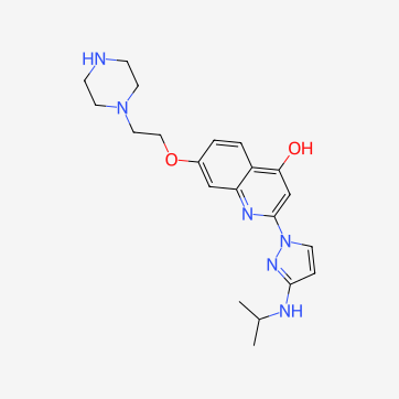 CC(C)Nc1ccn(-c2cc(O)c3ccc(OCCN4CCNCC4)cc3n2)n1